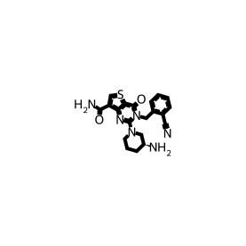 N#Cc1ccccc1Cn1c(N2CCC[C@@H](N)C2)nc2c(C(N)=O)csc2c1=O